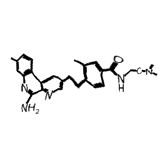 Cc1ccc2c(c1)nc(N)c1ncc(CCc3ccc(C(=O)NCCN(C)C)cc3C)cc12